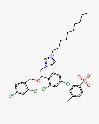 CCCCCCCCCC[n+]1ccn(CC(OCc2ccc(Cl)cc2Cl)c2ccc(Cl)cc2Cl)c1.Cc1ccc(S(=O)(=O)[O-])cc1